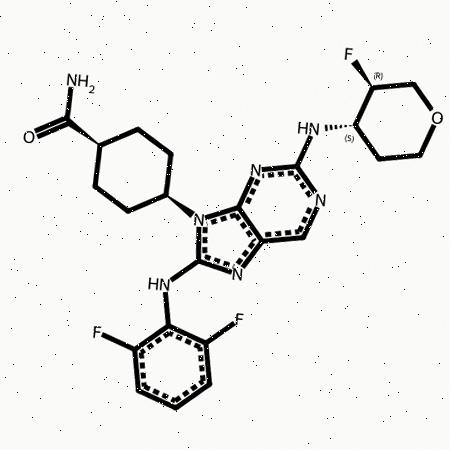 NC(=O)[C@H]1CC[C@@H](n2c(Nc3c(F)cccc3F)nc3cnc(N[C@H]4CCOC[C@@H]4F)nc32)CC1